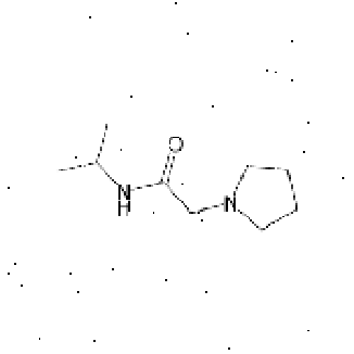 CC(C)NC(=O)CN1CCCC1